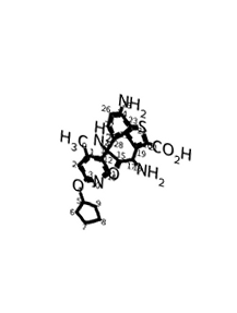 Cc1cc(OC2CCCC2)ncc1C1(N)C(=O)C(N)c2c(C(=O)O)sc3c(N)ccc1c23